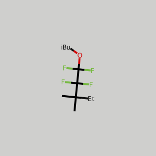 CCC(C)OC(F)(F)C(F)(F)C(C)(C)CC